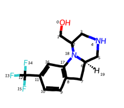 OCC1CNC[C@H]2Cc3ccc(C(F)(F)F)cc3N12